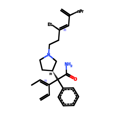 C=C/C(=C\C)C(C(N)=O)(c1ccccc1)[C@@H]1CCN(CC/C(=C/C(=C)CCC)CC)C1